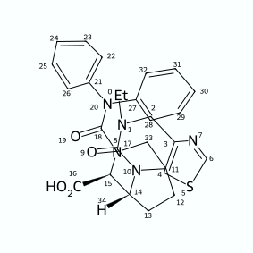 CCN(Cc1cscn1)C(=O)N1C2CC[C@@H]1[C@@H](C(=O)O)N(C(=O)N(c1ccccc1)c1ccccc1)C2